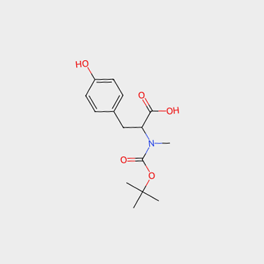 CN(C(=O)OC(C)(C)C)C(Cc1ccc(O)cc1)C(=O)O